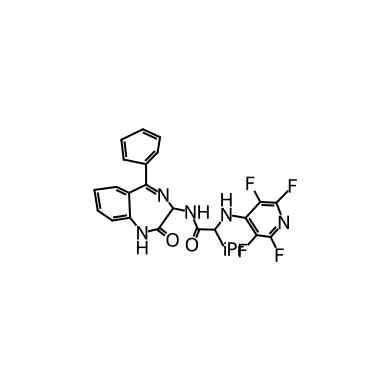 CC(C)C(Nc1c(F)c(F)nc(F)c1F)C(=O)NC1N=C(c2ccccc2)c2ccccc2NC1=O